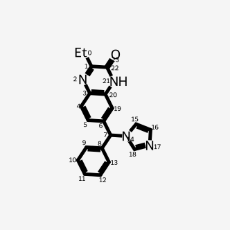 CCc1nc2ccc(C(c3ccccc3)n3ccnc3)cc2[nH]c1=O